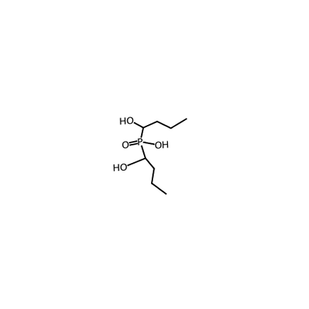 CCCC(O)P(=O)(O)C(O)CCC